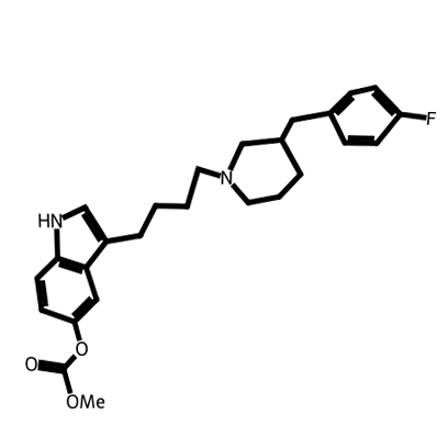 COC(=O)Oc1ccc2[nH]cc(CCCCN3CCCC(Cc4ccc(F)cc4)C3)c2c1